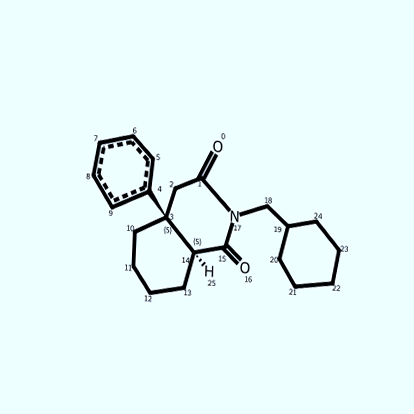 O=C1C[C@@]2(c3ccccc3)CCCC[C@@H]2C(=O)N1CC1CCCCC1